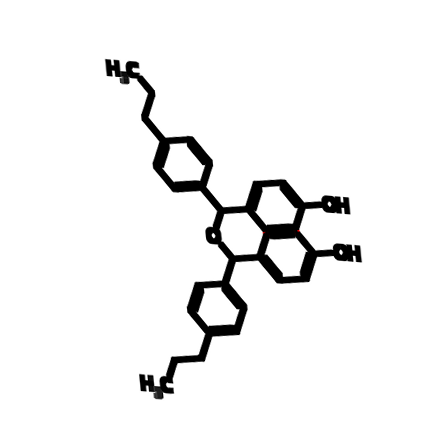 CCCc1ccc(C(OC(c2ccc(O)cc2)c2ccc(CCC)cc2)c2ccc(O)cc2)cc1